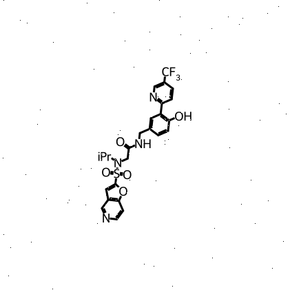 CC(C)N(CC(=O)NCc1ccc(O)c(-c2ccc(C(F)(F)F)cn2)c1)S(=O)(=O)c1cc2cnccc2o1